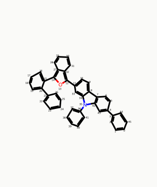 c1ccc(-c2ccc3c4ccc(-c5oc(-c6ccccc6-c6ccccc6)c6ccccc56)cc4n(-c4ccccc4)c3c2)cc1